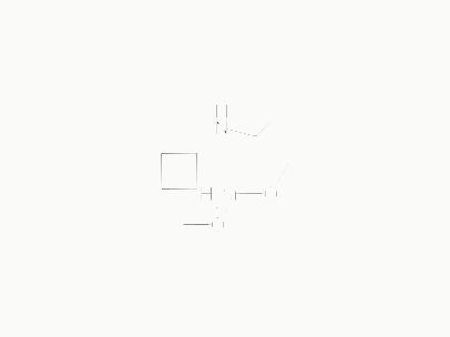 CCNC1CCC1.CO[SiH2]OC